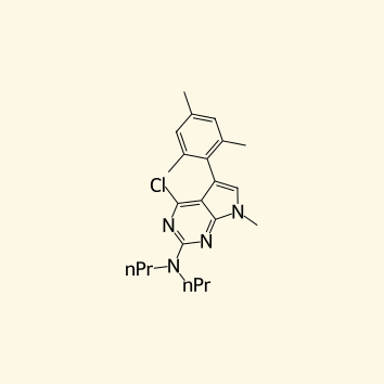 CCCN(CCC)c1nc(Cl)c2c(-c3c(C)cc(C)cc3C)cn(C)c2n1